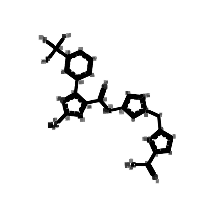 CC(=O)c1ccc(Cn2cc(NC(=O)c3nc(C)oc3-c3cccc(C(F)(F)F)c3)cn2)o1